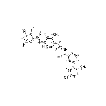 Cc1ccc(Cl)c(F)c1-c1cncc(C(=O)Nc2cnn(C(C)c3cnc(N4C[C@H]5C[C@H]5C4=O)nc3C)c2)n1